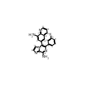 Nc1cc(-c2c(-c3cccc(F)c3)nc(N)c3nccn23)cc2cccnc12